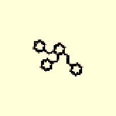 C(=Cc1cccc(Cc2ccccc2)c1Cc1ccccc1)c1ccccc1